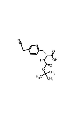 CC(C)(C)OC(=O)N[C@H](Cc1ccc(CC#N)cc1)C(=O)O